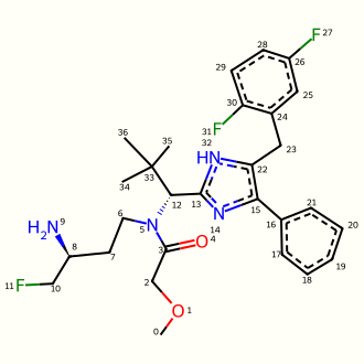 COCC(=O)N(CC[C@H](N)CF)[C@@H](c1nc(-c2ccccc2)c(Cc2cc(F)ccc2F)[nH]1)C(C)(C)C